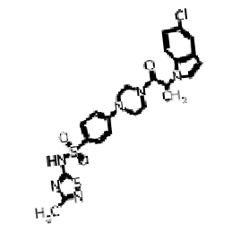 Cc1nsc(NS(=O)(=O)c2ccc(N3CCN(C(=O)C(C)n4ccc5cc(Cl)ccc54)CC3)cc2)n1